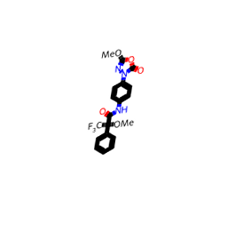 COc1nn(-c2ccc(NC(=O)C(OC)(c3ccccc3)C(F)(F)F)cc2)c(=O)o1